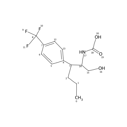 CCCC(c1ccc(C(F)(F)F)cc1)C(CO)NC(=O)O